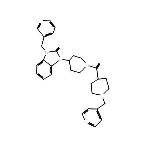 O=C(C1CCN(Cc2ccncc2)CC1)N1CCC(n2c(=O)n(Cc3cccnc3)c3ccccc32)CC1